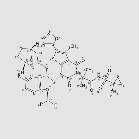 Cc1c(-c2ncco2)sc2c1c(=O)n(C(C)(C)C(=O)NS(=O)(=O)C1(C)CC1)c(=O)n2CC(OC1C[C@H]2CC[C@@H](C1)O2)c1cc(F)ccc1OC(F)F